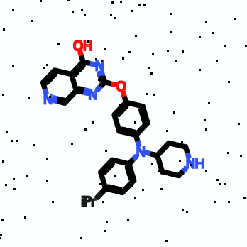 CC(C)c1ccc(N(c2ccc(Oc3nc(O)c4ccncc4n3)cc2)C2CCNCC2)cc1